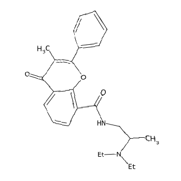 CCN(CC)C(C)CNC(=O)c1cccc2c(=O)c(C)c(-c3ccccc3)oc12